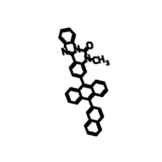 Cn1c(=O)n2c3ccccc3nc2c2ccc(-c3c4ccccc4c(-c4ccc5ccccc5c4)c4ccccc34)cc21